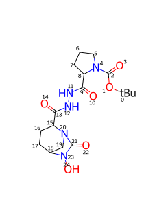 CC(C)(C)OC(=O)N1CCCC1C(=O)NNC(=O)C1CCC2CN1C(=O)N2O